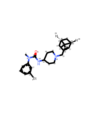 CCc1cccc(N(C)C(=O)NC2CCN(CC3=C[C@H]4C[C@H](C3)C4(C)C)CC2)c1